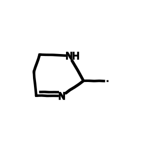 [CH2]C1N=CCCN1